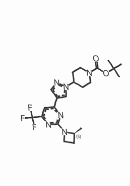 C[C@H]1CCN1c1nc(-c2cnn(C3CCN(C(=O)OC(C)(C)C)CC3)c2)cc(C(F)(F)F)n1